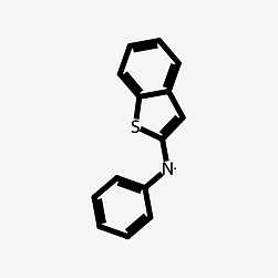 c1ccc([N]c2cc3ccccc3s2)cc1